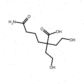 NC(=O)CCCC(CCO)(CCO)C(=O)O